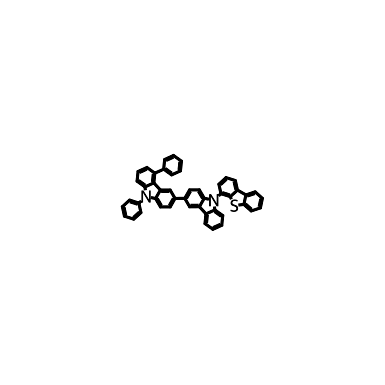 c1ccc(-c2cccc3c2c2cc(-c4ccc5c(c4)c4ccccc4n5-c4cccc5c4sc4ccccc45)ccc2n3-c2ccccc2)cc1